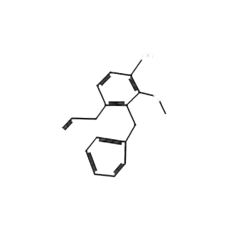 C=CCc1ccc(O)c(OC)c1Cc1ccccc1